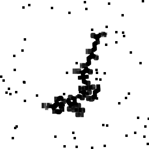 CCCC(=O)SCCNC(=O)CCNC(=O)[C@H](O)C(C)(C)COP(=O)(O)OP(=O)(O)OC[C@H]1O[C@@H](n2cnc3c(N)ncnc32)[C@H](O)[C@@H]1OP(=O)(O)O.CCCC=O